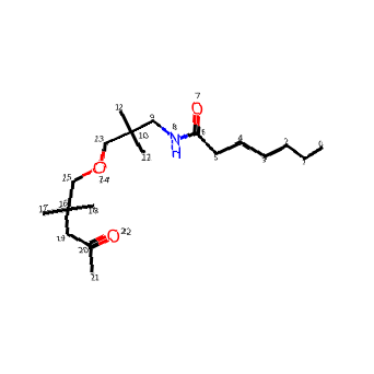 CCCCCCC(=O)NCC(C)(C)COCC(C)(C)CC(C)=O